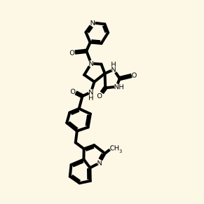 Cc1cc(Cc2ccc(C(=O)NC3CN(C(=O)c4cccnc4)CC34NC(=O)NC4=O)cc2)c2ccccc2n1